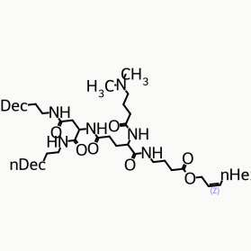 CCCCCC/C=C\COC(=O)CCCNC(=O)C(CCC(=O)NC(CC(=O)NCCCCCCCCCCCC)C(=O)NCCCCCCCCCCCC)NC(=O)CCCN(C)C